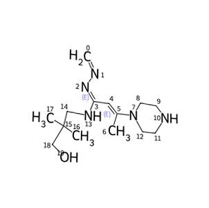 C=N/N=C(\C=C(/C)N1CCNCC1)NCC(C)(C)CO